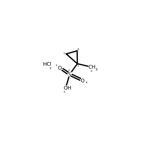 CC1(S(=O)(=O)O)CC1.Cl